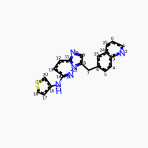 c1cnc2ccc(Cc3cnc4ccc(Nc5ccsc5)nn34)cc2c1